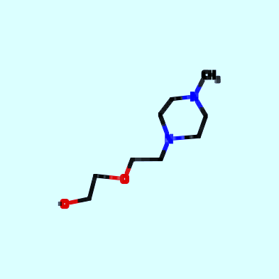 CN1CCN(CCOCC[O])CC1